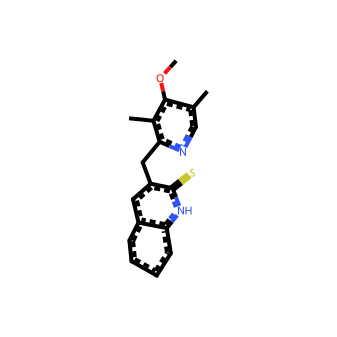 COc1c(C)cnc(Cc2cc3ccccc3[nH]c2=S)c1C